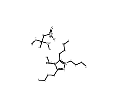 CCCCc1n[n+](CCCC)c(CCCC)n1NC.COC(C)(C[PH](=O)[O-])OC